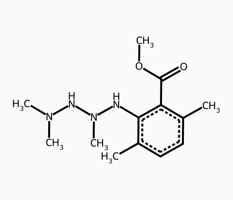 COC(=O)c1c(C)ccc(C)c1NN(C)NN(C)C